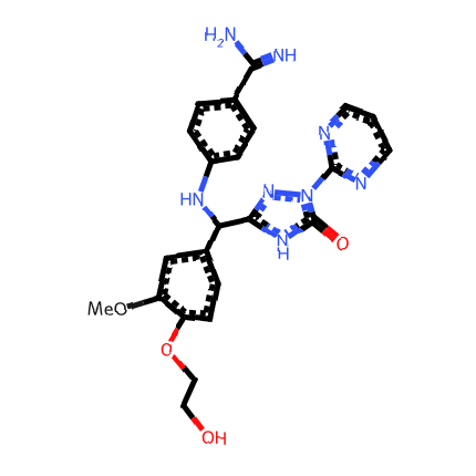 COc1cc(C(Nc2ccc(C(=N)N)cc2)c2nn(-c3ncccn3)c(=O)[nH]2)ccc1OCCO